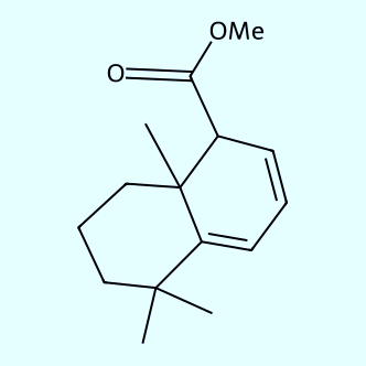 COC(=O)C1C=CC=C2C(C)(C)CCCC21C